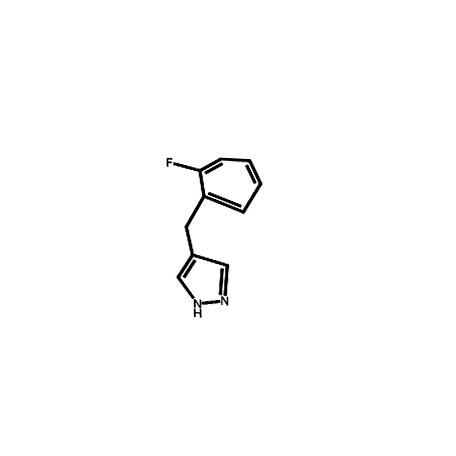 Fc1ccccc1Cc1cn[nH]c1